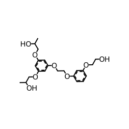 CC(O)COc1cc(OCCOc2cccc(OCCO)c2)cc(OCC(C)O)c1